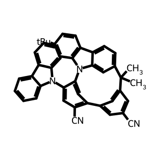 CC(C)(C)c1ccc2c3ccc4cc3n(c2c1)-c1cc(c(C#N)cc1-n1c2ccccc2c2ccccc21)-c1cc(C#N)cc(c1)C4(C)C